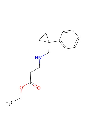 CCOC(=O)CCNCC1(c2ccccc2)CC1